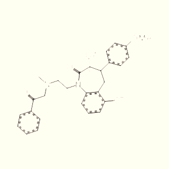 COc1ccc(C2Cc3c(cccc3C(F)(F)F)N(CCN(C)CC(=O)c3ccccc3)C(=O)[C@@H]2OC(C)=O)cc1